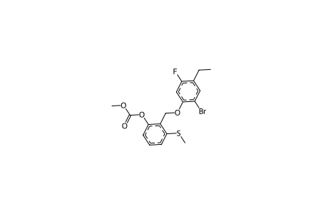 CCc1cc(Br)c(OCc2c(OC(=O)OC)cccc2SC)cc1F